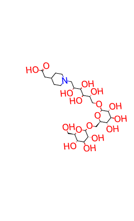 O=C(O)CC1CCN(CC(O)[C@@H](O)[C@H](O)[C@H](O)CO[C@@H]2O[C@H](CO[C@@H]3O[C@H](CO)[C@@H](O)[C@H](O)[C@H]3O)[C@@H](O)[C@H](O)[C@H]2O)CC1